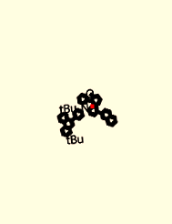 CC(C)(C)c1ccc2c(c1)cc(-c1ccc(N(c3ccc(-c4ccc5ccccc5c4)cc3)c3cccc4oc5ccccc5c34)cc1)c1cc(C(C)(C)C)ccc12